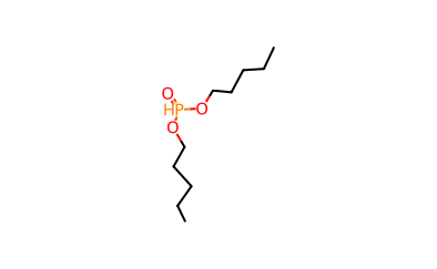 CCCCCO[PH](=O)OCCCCC